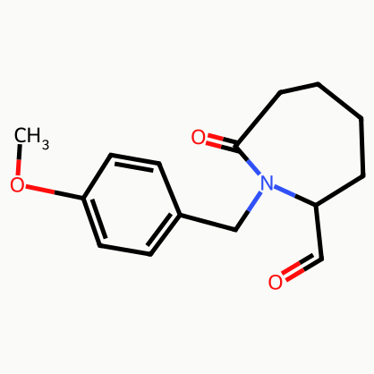 COc1ccc(CN2C(=O)CCCCC2C=O)cc1